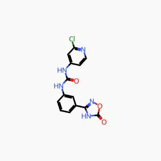 O=C(Nc1cccc(-c2noc(=O)[nH]2)c1)Nc1ccnc(Cl)c1